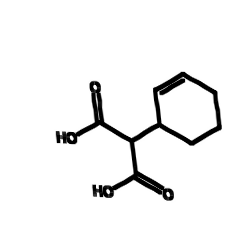 O=C(O)C(C(=O)O)C1C=CCCC1